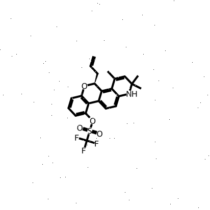 C=CC[C@@H]1Oc2cccc(OS(=O)(=O)C(F)(F)F)c2-c2ccc3c(c21)C(C)=CC(C)(C)N3